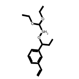 C=Cc1cccc(C(CC)O[SiH2]C(OCC)OCC)c1